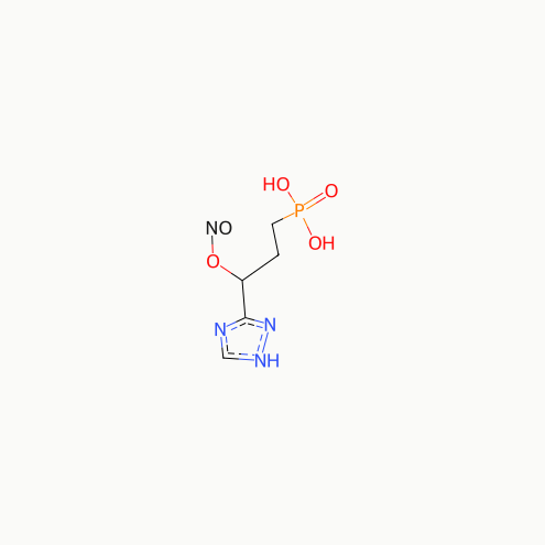 O=NOC(CCP(=O)(O)O)c1nc[nH]n1